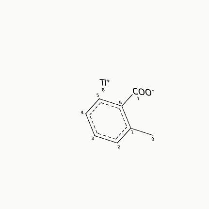 Cc1ccccc1C(=O)[O-].[Tl+]